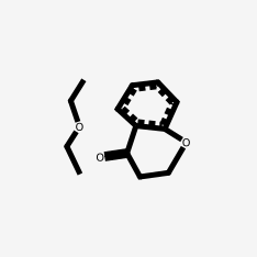 CCOCC.O=C1CCOc2ccccc21